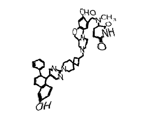 CN(Cc1cc2c(cc1C=O)OCC1CN(CC3CC4(CCN(c5ncc(C6c7ccc(O)cc7CCC6c6ccccc6)cn5)CC4)C3)CCN21)C1CCC(=O)NC1=O